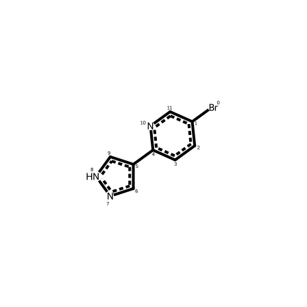 Brc1ccc(-c2cn[nH]c2)nc1